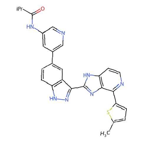 Cc1ccc(-c2nccc3[nH]c(-c4n[nH]c5ccc(-c6cncc(NC(=O)C(C)C)c6)cc45)nc23)s1